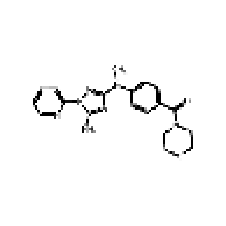 CN(c1ccc(C(=O)N2CCOCC2)cc1)c1nc(N)n(-c2ccccn2)n1